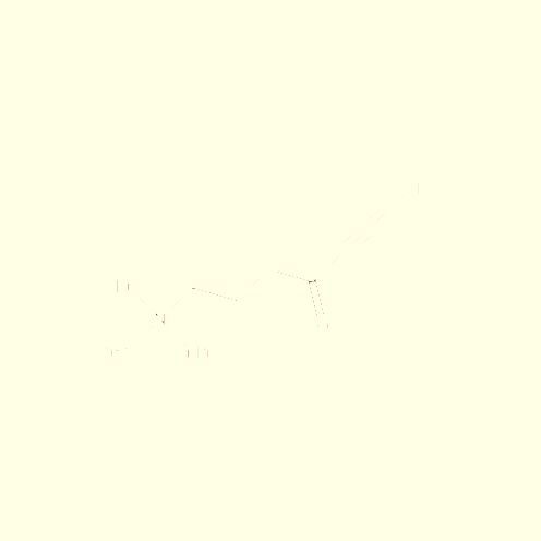 CC#CC(=O)OCC[N+](CC)(CCC)CCC